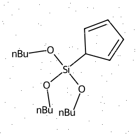 CCCCO[Si](OCCCC)(OCCCC)C1C=CC=C1